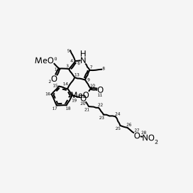 COC(=O)C1=C(C)NC(C)=C(C(=O)OC)C1c1ccccc1OCCCCCCO[N+](=O)[O-]